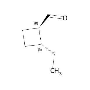 CC[C@@H]1CC[C@H]1C=O